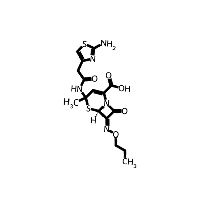 CCCO/N=C1\C(=O)N2C(C(=O)O)=CC(C)(NC(=O)Cc3csc(N)n3)S[C@H]12